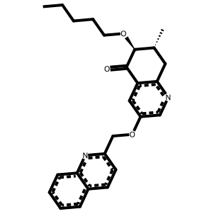 CCCCCO[C@@H]1C(=O)c2cc(OCc3ccc4ccccc4n3)cnc2C[C@H]1C